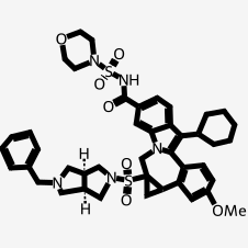 COc1ccc2c(c1)C1CC1(S(=O)(=O)N1C[C@H]3CN(Cc4ccccc4)C[C@H]3C1)Cn1c-2c(C2CCCCC2)c2ccc(C(=O)NS(=O)(=O)N3CCOCC3)cc21